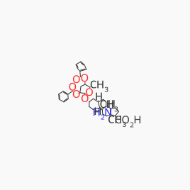 C[C@@H]1O[C@@H](O[C@H]2CC[C@@]3(C)[C@H](CC[C@@H]4[C@@H]3CC[C@]3(C)[C@@H](C(=O)O)CC[C@]43N)C2)[C@H](OC(=O)c2ccccc2)C[C@H]1OC(=O)c1ccccc1